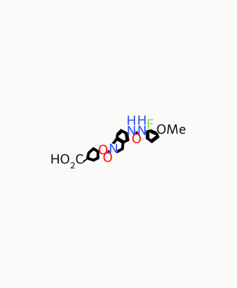 COc1cccc(NC(=O)Nc2ccc3c(c2)CCN(C(=O)O[C@H]2CC[C@H](CC(=O)O)CC2)C3)c1F